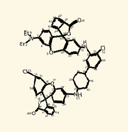 CCN(CC)c1ccc2c(c1)Oc1ccc(Nc3cc(C4CCC(Nc5ccc6c(c5)Oc5cc(Cl)ccc5C65OC(=O)c6ccccc65)CC4)ccc3Cl)cc1C21OC(=O)c2ccccc21